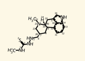 CNC(=S)NNC[C@@H]1CC2c3cccc4[nH]cc(c34)C[C@H]2N(C)C1